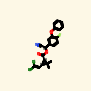 CC1(C)[C@H](C(=O)O[C@@H](C#N)c2ccc(F)c(Oc3ccccc3)c2)[C@@H]1C=C(Cl)Cl